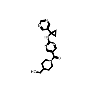 O=C(c1cnc(NC2(c3cncnc3)CC2)nc1)N1CCC(CO)CC1